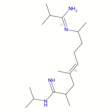 C/C(=C\CCC(C)/N=C(\N)C(C)C)CC(C)C(=N)NC(C)C